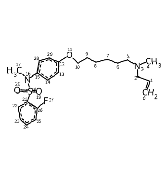 C=CCN(C)CCCCCCOc1ccc(N(C)S(=O)(=O)c2ccccc2F)cc1